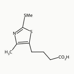 CSc1nc(C)c(CCCC(=O)O)s1